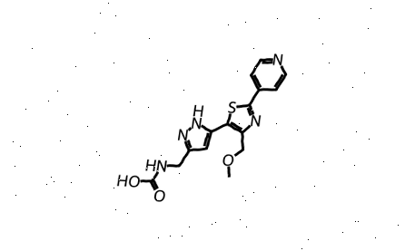 COCc1nc(-c2ccncc2)sc1-c1cc(CNC(=O)O)n[nH]1